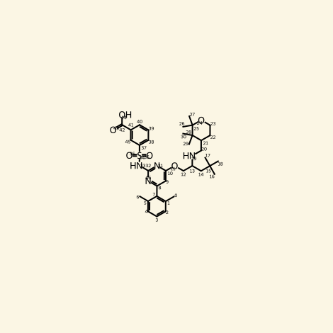 Cc1cccc(C)c1-c1cc(OCC(CC(C)(C)C)NCC2CCOC(C)(C)C2(C)C)nc(NS(=O)(=O)c2cccc(C(=O)O)c2)n1